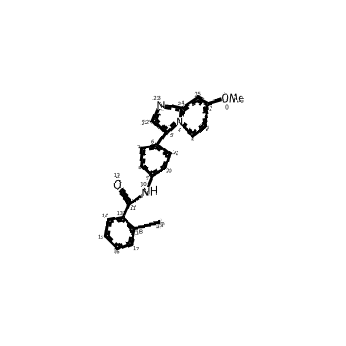 COc1ccn2c(-c3ccc(NC(=O)c4ccccc4C)cc3)cnc2c1